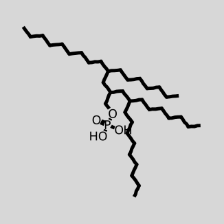 CCCCCCCCCC(CCCCCCC)CC(COP(=O)(O)O)CC(CCCCCCC)CCCCCCCCC